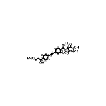 CNC(=O)[C@@](C)(C(=O)NO)N(C)C(=O)c1ccc(C#Cc2ccc([C@H](O)CCOC)cc2)cc1